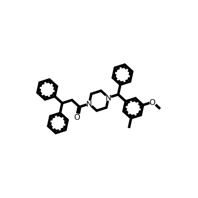 COc1cc(C)cc(C(c2ccccc2)N2CCN(C(=O)CC(c3ccccc3)c3ccccc3)CC2)c1